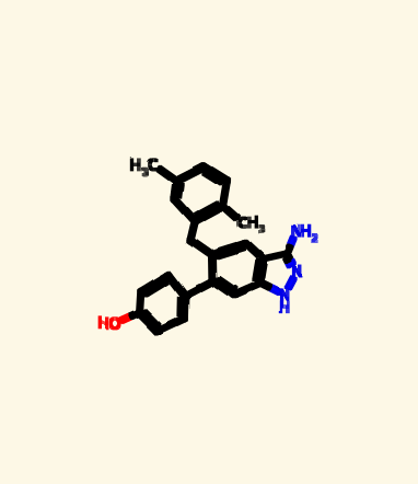 Cc1ccc(C)c(Cc2cc3c(N)n[nH]c3cc2-c2ccc(O)cc2)c1